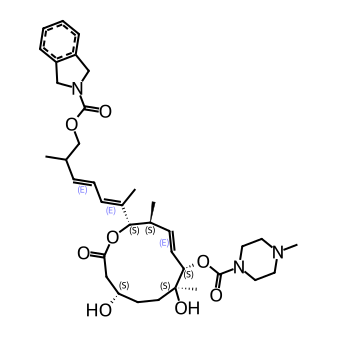 C/C(=C\C=C\C(C)COC(=O)N1Cc2ccccc2C1)[C@H]1OC(=O)C[C@@H](O)CC[C@](C)(O)[C@@H](OC(=O)N2CCN(C)CC2)/C=C/[C@@H]1C